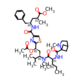 CC[C@H](C)[C@H](NC(=O)C12CC(CCN1C)C2)C(=O)N(C)[C@H](C[C@@H](OC(C)=O)c1nc(C(=O)N[C@@H](Cc2ccccc2)C[C@H](C)C(=O)OC)cs1)C(C)C